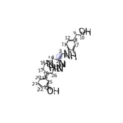 N=N/C(=C\Nc1ccc(CCO)cc1)CN1CCC(c2cccc(O)c2)CC1